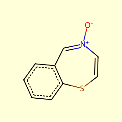 [O-][N+]1=Cc2ccccc2SC=C1